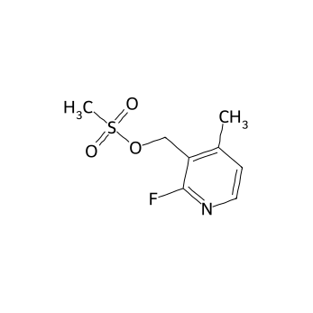 Cc1ccnc(F)c1COS(C)(=O)=O